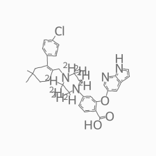 [2H]C1([2H])N(CC2=C(c3ccc(Cl)cc3)CC(C)(C)CC2)C([2H])([2H])C([2H])([2H])N(c2ccc(C(=O)O)c(Oc3cnc4[nH]ccc4c3)c2)C1([2H])[2H]